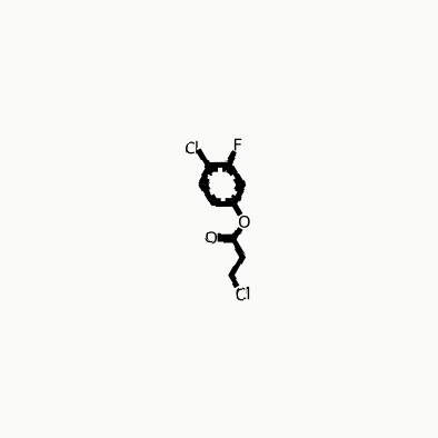 O=C(CCCl)Oc1ccc(Cl)c(F)c1